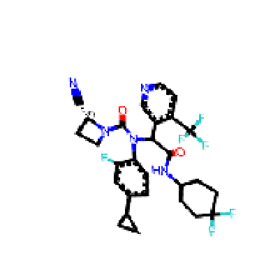 N#C[C@H]1CCN1C(=O)N(c1ccc(C2CC2)cc1F)C(C(=O)NC1CCC(F)(F)CC1)c1cnccc1C(F)(F)F